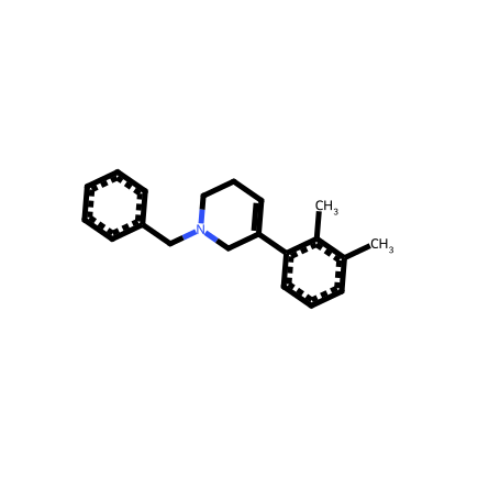 Cc1cccc(C2=CCCN(Cc3ccccc3)C2)c1C